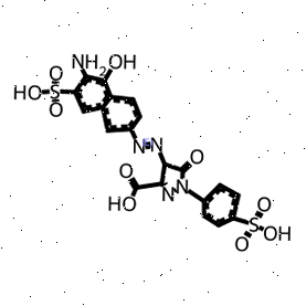 Nc1c(S(=O)(=O)O)cc2cc(/N=N/C3C(=O)N(c4ccc(S(=O)(=O)O)cc4)N=C3C(=O)O)ccc2c1O